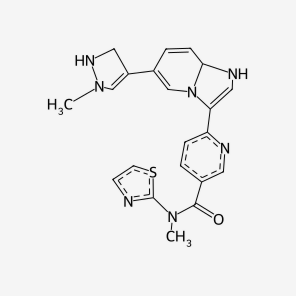 CN1C=C(C2=CN3C(c4ccc(C(=O)N(C)c5nccs5)cn4)=CNC3C=C2)CN1